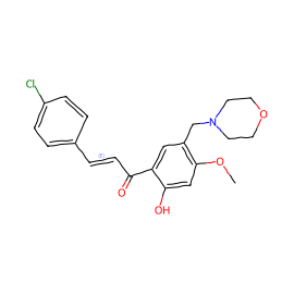 COc1cc(O)c(C(=O)/C=C/c2ccc(Cl)cc2)cc1CN1CCOCC1